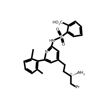 Cc1cccc(C)c1-c1cc(CC[C@H](N)CC(C)C)cc(NS(=O)(=O)c2ccccc2C(=O)O)n1